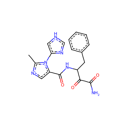 Cc1ncc(C(=O)NC(Cc2ccccc2)C(=O)C(N)=O)n1-c1c[nH]cn1